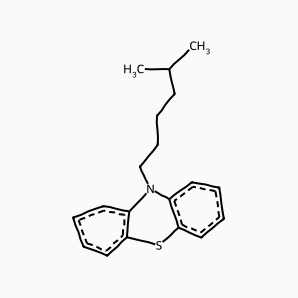 CC(C)CCCCN1c2ccccc2Sc2ccccc21